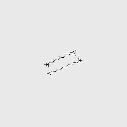 CN(C)CCCCCCCCCCN(C)C.CN(C)CCCCCCCCCN(C)C